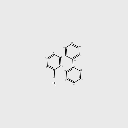 Cc1ccccc1.I.c1ccc(-c2ccccc2)cc1